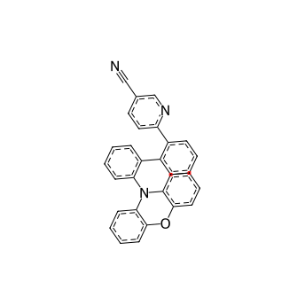 N#Cc1ccc(-c2ccccc2-c2ccccc2N2c3ccccc3Oc3ccccc32)nc1